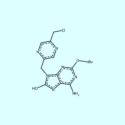 CCCCOc1nc(N)c2nc(O)n(Cc3cnc(CCl)cn3)c2n1